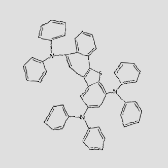 c1ccc(N(c2ccccc2)c2cc(N(c3ccccc3)c3ccccc3)c3sc4c5ccccc5c(N(c5ccccc5)c5ccccc5)cc4c3c2)cc1